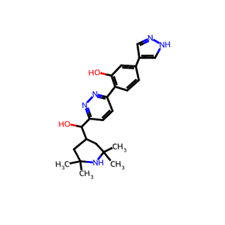 CC1(C)CC(C(O)c2ccc(-c3ccc(-c4cn[nH]c4)cc3O)nn2)CC(C)(C)N1